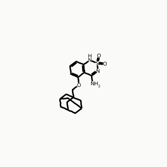 NC1=NS(=O)(=O)Nc2cccc(OCC34CC5CC(CC(C5)C3)C4)c21